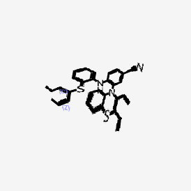 C=CC1=C(C=C)N(c2cc(C#N)ccc2Nc2ccccc2SC(/C=C\C)=C/CC)c2ccccc2S1